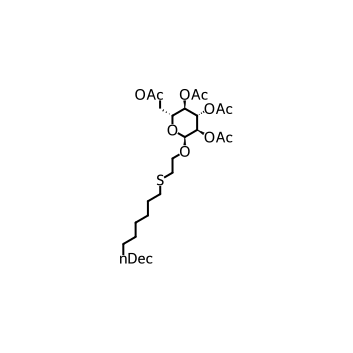 CCCCCCCCCCCCCCCCSCCO[C@H]1O[C@H](COC(C)=O)[C@@H](OC(C)=O)[C@H](OC(C)=O)[C@H]1OC(C)=O